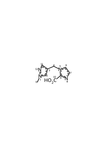 Cn1cc(Cn2ccnc2C(=O)O)cn1